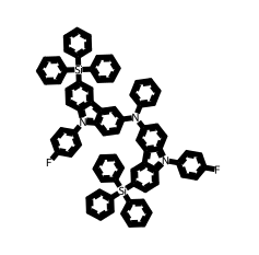 Fc1ccc(-n2c3ccc(N(c4ccccc4)c4ccc5c(c4)c4cc([Si](c6ccccc6)(c6ccccc6)c6ccccc6)ccc4n5-c4ccc(F)cc4)cc3c3cc([Si](c4ccccc4)(c4ccccc4)c4ccccc4)ccc32)cc1